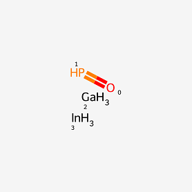 O=P.[GaH3].[InH3]